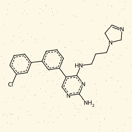 Nc1ncc(-c2cccc(-c3cccc(Cl)c3)c2)c(NCCCN2CC=NC2)n1